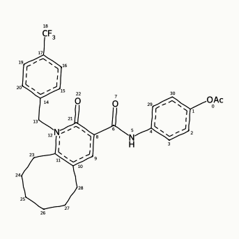 CC(=O)Oc1ccc(NC(=O)c2cc3c(n(Cc4ccc(C(F)(F)F)cc4)c2=O)CCCCCC3)cc1